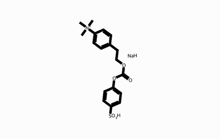 C[N+](C)(C)c1ccc(CCOC(=O)Oc2ccc(S(=O)(=O)O)cc2)cc1.[NaH]